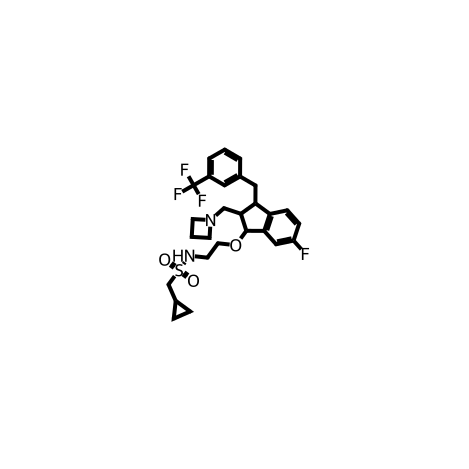 O=S(=O)(CC1CC1)NCCOC1c2cc(F)ccc2C(Cc2cccc(C(F)(F)F)c2)C1CN1CCC1